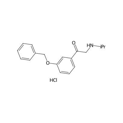 CC(C)NCC(=O)c1cccc(OCc2ccccc2)c1.Cl